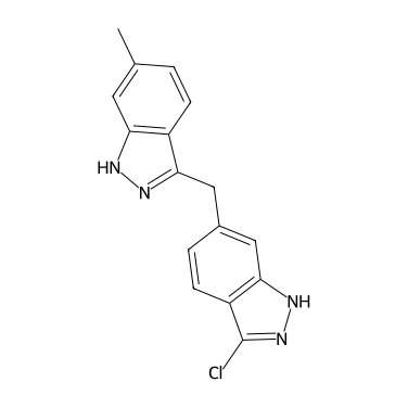 Cc1ccc2c(Cc3ccc4c(Cl)n[nH]c4c3)n[nH]c2c1